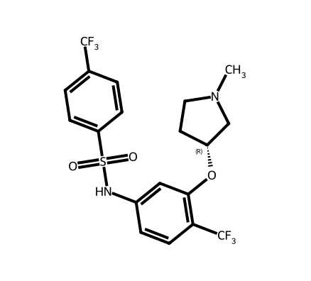 CN1CC[C@@H](Oc2cc(NS(=O)(=O)c3ccc(C(F)(F)F)cc3)ccc2C(F)(F)F)C1